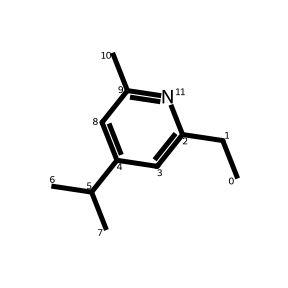 CCc1cc(C(C)C)cc(C)n1